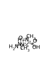 CN1C(=O)[N+](C)(NN)C=C1C(=O)O